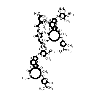 C#CCN1CC(=O)N(COC(=O)C2C(C=C(C)C)C2(C)C)C1=O.CC[C@H]1CCC[C@H](O[C@H]2CC[C@H](N(C)C)[C@@H](C)O2)[C@@H](C)C(=O)C2=C[C@@H]3[C@@H](C=C(C)[C@@H]4C[C@@H](O[C@@H]5O[C@@H](C)[C@H](OC)[C@@H](OC)[C@H]5OC)C[C@@H]34)[C@@H]2CC(=O)O1.CC[C@H]1CCC[C@H](O[C@H]2CC[C@H](N(C)C)[C@@H](C)O2)[C@@H](C)C(=O)C2=C[C@@H]3[C@@H](C=C[C@@H]4C[C@@H](O[C@@H]5O[C@@H](C)[C@H](OC)[C@@H](OC)[C@H]5OC)C[C@@H]34)[C@@H]2CC(=O)O1